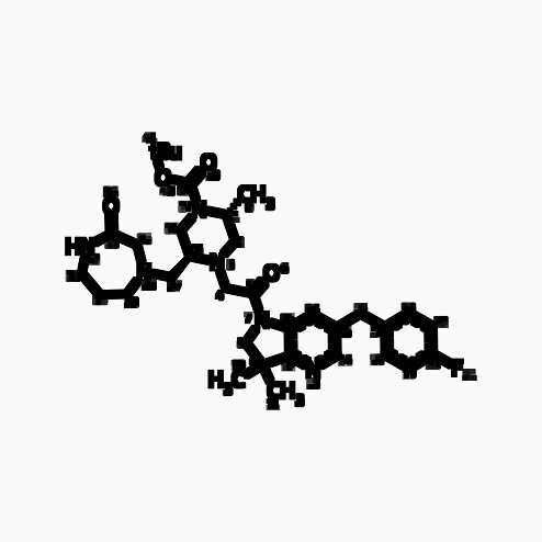 C[C@@H]1CN(CC(=O)N2CC(C)(C)c3ncc(Cc4ccc(F)cc4)cc32)[C@@H](CN2CCCNC(=O)C2)CN1C(=O)OC(C)(C)C